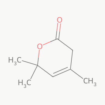 CC1=CC(C)(C)OC(=O)C1